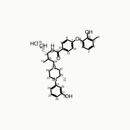 Cc1cccc(Oc2ccc(C(=O)N[C@@H](C)C(C)CN3CCN(c4cccc(O)c4)[C@@H](C)C3)cc2)c1O.Cl.Cl